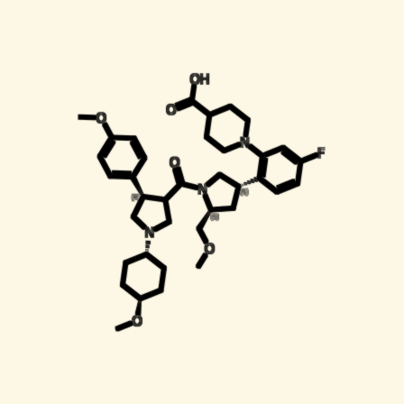 COC[C@@H]1C[C@@H](c2ccc(F)cc2N2CCC(C(=O)O)CC2)CN1C(=O)C1CN([C@H]2CC[C@H](OC)CC2)C[C@H]1c1ccc(OC)cc1